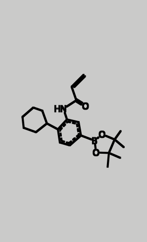 C=CC(=O)Nc1cc(B2OC(C)(C)C(C)(C)O2)ccc1C1CCCCC1